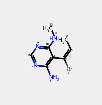 C/C=C(/Br)c1c(N)ncnc1NC